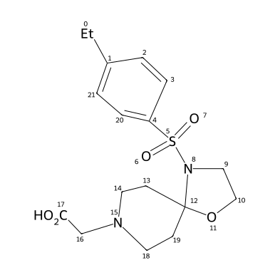 CCc1ccc(S(=O)(=O)N2CCOC23CCN(CC(=O)O)CC3)cc1